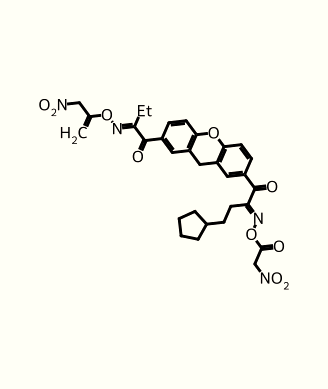 C=C(C[N+](=O)[O-])O/N=C(\CC)C(=O)c1ccc2c(c1)Cc1cc(C(=O)/C(CCC3CCCC3)=N/OC(=O)C[N+](=O)[O-])ccc1O2